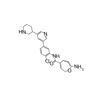 NC1=C=CC(C(=O)Nc2cc(-c3cncc(C4CCCNC4)c3)ccc2Cl)=CCO1